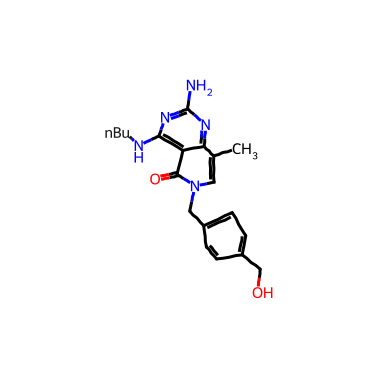 CCCCNc1nc(N)nc2c(C)cn(Cc3ccc(CO)cc3)c(=O)c12